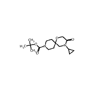 CC(C)(C)OC(=O)N1CCC2(CC1)CN(C1CC1)C(=O)CO2